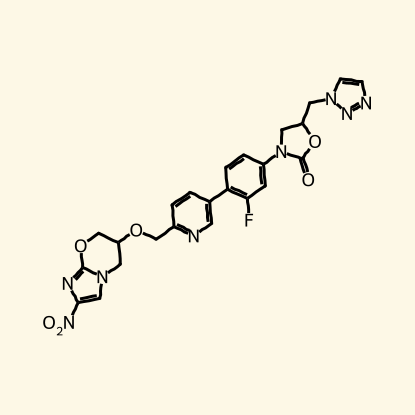 O=C1OC(Cn2ccnn2)CN1c1ccc(-c2ccc(COC3COc4nc([N+](=O)[O-])cn4C3)nc2)c(F)c1